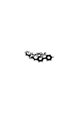 CCCCCn1nc(CC(C)C)nc1Cc1ccc(-c2ccccc2C(=O)O)nc1